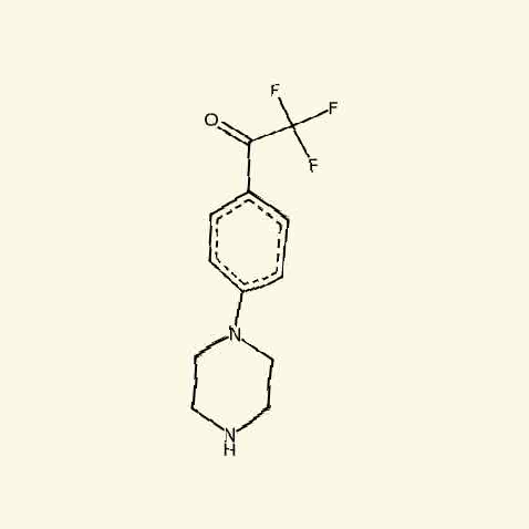 O=C(c1ccc(N2CCNCC2)cc1)C(F)(F)F